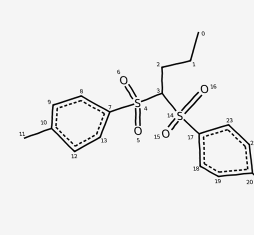 CCCC(S(=O)(=O)c1ccc(C)cc1)S(=O)(=O)c1ccc(C)cc1